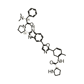 CC1=C(NC(=O)[C@@H]2CCCN2)CC(c2ncc(-c3ccc4[nH]c([C@@H]5CCCN5C(=O)[C@@H](c5ccccc5)N(C)C)nc4c3)o2)C=C1